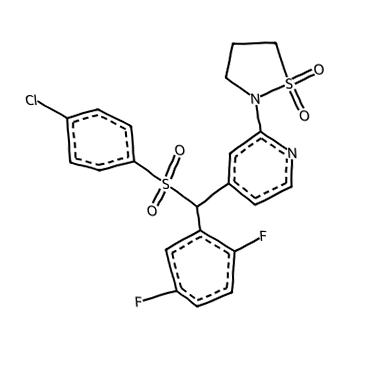 O=S(=O)(c1ccc(Cl)cc1)C(c1ccnc(N2CCCS2(=O)=O)c1)c1cc(F)ccc1F